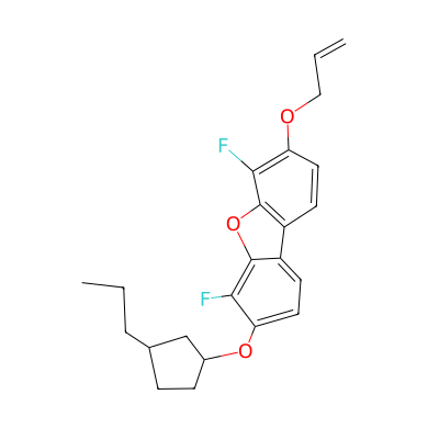 C=CCOc1ccc2c(oc3c(F)c(OC4CCC(CCC)C4)ccc32)c1F